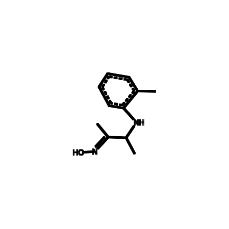 C/C(=N\O)C(C)Nc1ccccc1C